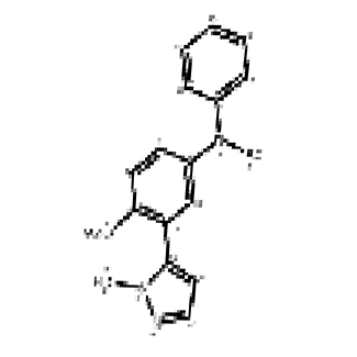 COc1ccc(N(C(C)=O)c2ccccc2)cc1-c1ccnn1C